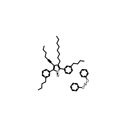 CCCCC#CC1=C(c2cccc(CCCC)c2)[N+](=[N-])C(c2cccc(CCCC)c2)=C1CCCCCCCC.c1ccc([O][Ni][O]c2ccccc2)cc1